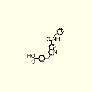 O=C(O)c1ccc(Cc2cnc3sc(C(=O)NCc4ccncc4)cc3c2)cc1